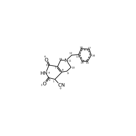 N#CC1C(=O)NC(=O)C2=C1CCN(Cc1ccccc1)C2